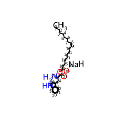 CCCCCCCC/C=C\CCCCCCCC(=O)OC(=O)[C@@H](N)Cc1c[nH]c2ccccc12.[NaH]